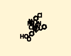 O=C(O)c1ccc(NC[C@H](Cc2ccccc2)n2cnc(-c3cc(Cl)ccc3-n3cc(Cl)nn3)cc2=O)cc1